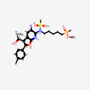 CCOP(C)(=O)CCCCCN(c1nc2oc(-c3ccc(C)cc3)c(C(=O)NC)c2cc1I)S(C)(=O)=O